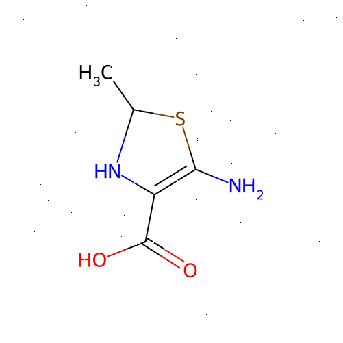 CC1NC(C(=O)O)=C(N)S1